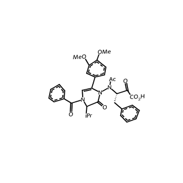 COc1ccc(C2=CN(C(=O)c3ccccc3)C(C(C)C)C(=O)N2N(C(C)=O)[C@@H](Cc2ccccc2)C(=O)C(=O)O)cc1OC